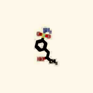 CC(O)Cc1cccc(S(N)(=O)=O)c1